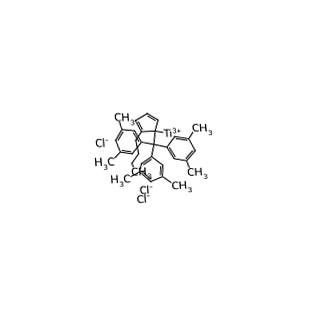 CCCCC1=CC=C[C]1([Ti+3])C(c1cc(C)cc(C)c1)(c1cc(C)cc(C)c1)c1cc(C)cc(C)c1.[Cl-].[Cl-].[Cl-]